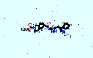 Cn1cc(Cc2nnc(NC(=O)c3ccc4c(c3)CCN(C(=O)OC(C)(C)C)C4)s2)c2ccccc21